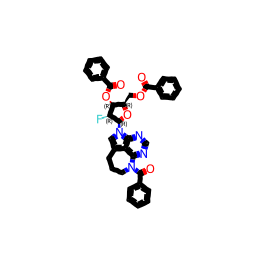 O=C(OC[C@H]1O[C@@H](n2cc3c4c(ncnc42)N(C(=O)c2ccccc2)CCC3)[C@H](F)[C@@H]1OC(=O)c1ccccc1)c1ccccc1